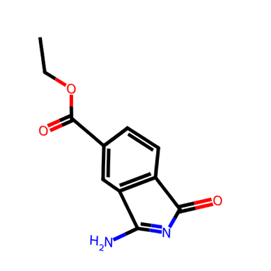 CCOC(=O)c1ccc2c(c1)C(N)=NC2=O